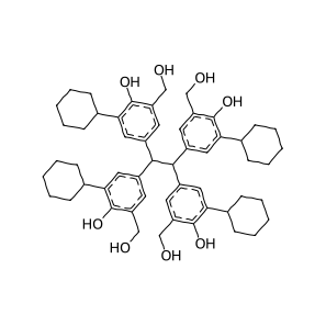 OCc1cc(C(c2cc(CO)c(O)c(C3CCCCC3)c2)C(c2cc(CO)c(O)c(C3CCCCC3)c2)c2cc(CO)c(O)c(C3CCCCC3)c2)cc(C2CCCCC2)c1O